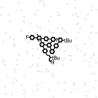 C=N/C=C\C(=C/Cc1ccc(-c2ccccc2-c2cc(-c3ccccc3-c3ccc(-c4cc(C(C)(C)C)ccn4)cc3)cc(-c3ccccc3-c3ccc(-c4cc(C)c(-c5ccc(F)cc5)cn4)cc3)c2)cc1)C(C)(C)C